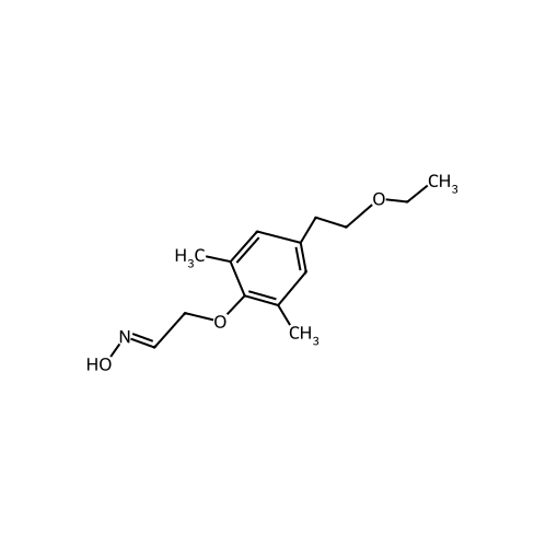 CCOCCc1cc(C)c(OCC=NO)c(C)c1